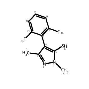 Cc1nn(C)c(S)c1-c1c(F)cccc1F